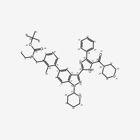 CCN(Cc1cncc(-c2ccc3c(c2)c(-c2nc(-c4ccccc4)c(C(=O)N4CCOCC4)[nH]2)nn3C2CCCCO2)c1C)C(=O)OC(C)(C)C